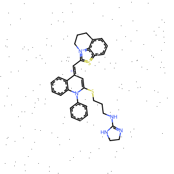 C1=C(SCCCNC2=NCCN2)N(c2ccccc2)c2ccccc2/C1=C/c1sc2cccc3c2[n+]1CCC3